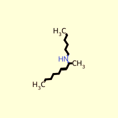 CCCCCC=CC(C)NCCCCCC